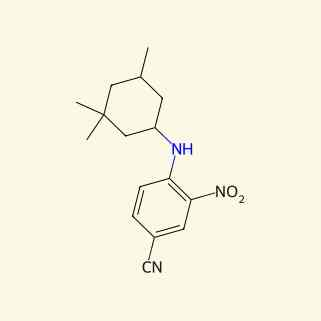 CC1CC(Nc2ccc(C#N)cc2[N+](=O)[O-])CC(C)(C)C1